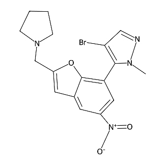 Cn1ncc(Br)c1-c1cc([N+](=O)[O-])cc2cc(CN3CCCC3)oc12